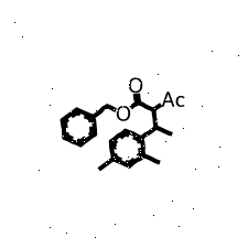 CC(=O)C(C(=O)OCc1ccccc1)C(C)c1ccc(C)cc1C